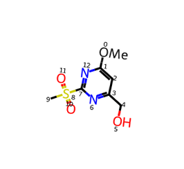 COc1cc(CO)nc(S(C)(=O)=O)n1